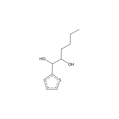 CCCCC(O)C(O)c1cccs1